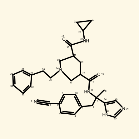 CC(Cc1ccc(C#N)cc1)(NC(=O)C1CC(C(=O)NC2CC2)CN(CCc2ccccc2)C1)c1cnc[nH]1